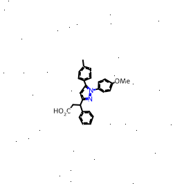 COc1ccc(-n2nc(C(CC(=O)O)c3ccccc3)cc2-c2ccc(C)cc2)cc1